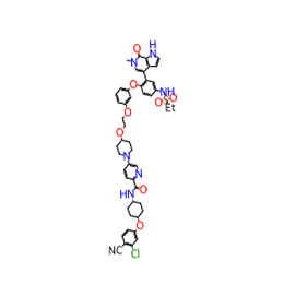 CCS(=O)(=O)Nc1ccc(Oc2cccc(OCCOC3CCN(c4ccc(C(=O)N[C@H]5CC[C@H](Oc6ccc(C#N)c(Cl)c6)CC5)nc4)CC3)c2)c(-c2cn(C)c(=O)c3[nH]ccc23)c1